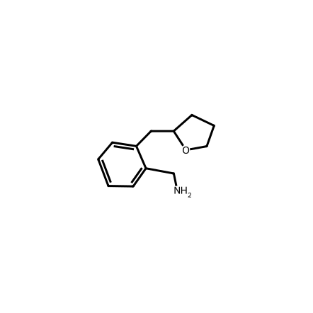 NCc1ccccc1CC1CCCO1